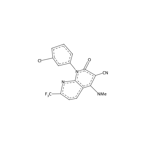 CNc1c(C#N)c(=O)n(-c2cccc(Cl)c2)c2nc(C(F)(F)F)ccc12